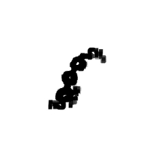 CCCC1CCC(c2ccc(-c3ccc(O)c(F)c3F)cc2)CC1